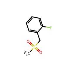 O=S(=O)(Cc1ccccc1F)C(F)(F)F